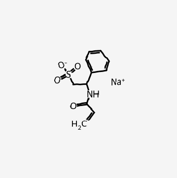 C=CC(=O)NC(CS(=O)(=O)[O-])c1ccccc1.[Na+]